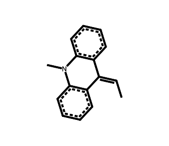 CC=C1c2ccccc2N(C)c2ccccc21